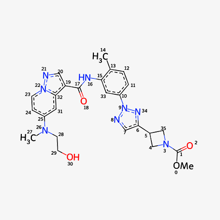 COC(=O)N1CC(c2cnn(-c3ccc(C)c(NC(=O)c4cnn5ccc(N(C)CCO)cc45)c3)n2)C1